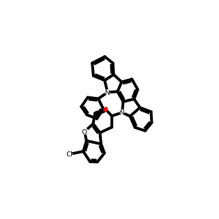 Clc1cccc2c3c(oc12)C=CC(n1c2ccccc2c2ccc4c5ccccc5n(-c5ccccc5)c4c21)C3